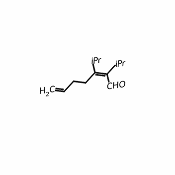 C=CCCC(=C(C=O)C(C)C)C(C)C